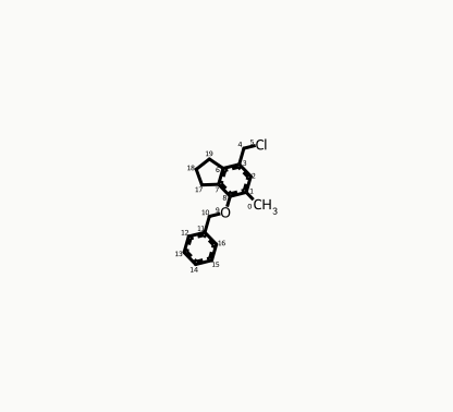 Cc1cc(CCl)c2c(c1OCc1ccccc1)CCC2